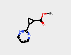 CC(C)(C)OC(=O)C1CC1c1ncccn1